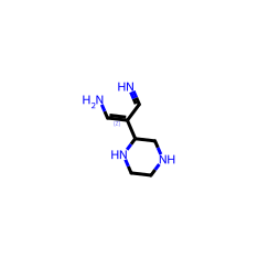 N=C/C(=C\N)C1CNCCN1